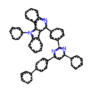 c1ccc(-c2ccc(-c3cc(-c4ccccc4)nc(-c4cccc(-c5nc6ccccc6c6c5c5ccccc5n6-c5ccccc5)c4)n3)cc2)cc1